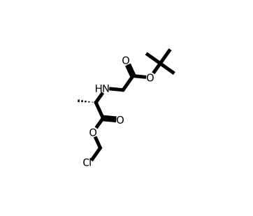 C[C@H](NCC(=O)OC(C)(C)C)C(=O)OCCl